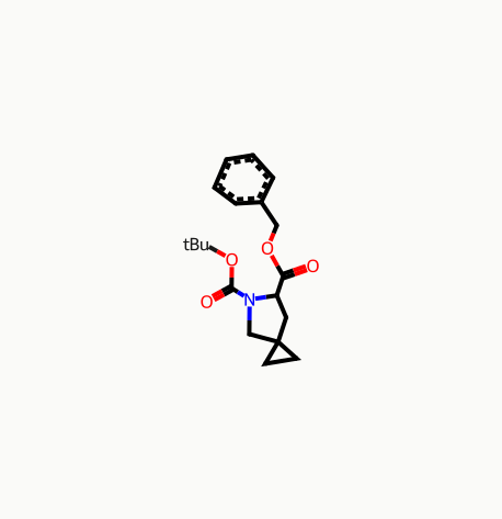 CC(C)(C)OC(=O)N1CC2(CC2)CC1C(=O)OCc1ccccc1